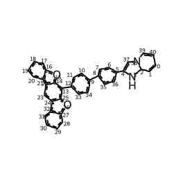 C1=CC2NC(c3ccc(-c4ccc(-c5c6oc7ccccc7c6cc6c5oc5ccccc56)cc4)cc3)=CN2C=C1